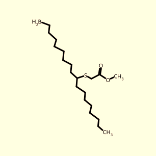 BCCCCCCCCC(CCCCCCCC)SCC(=O)OC